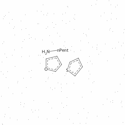 CCCCCN.c1ccoc1.c1ccsc1